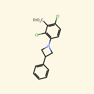 CCOC(=O)c1c(Cl)ccc(N2CC(c3ccccc3)C2)c1Cl